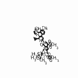 CC(OS(C)(=O)=O)c1cc2c(S(C)(=O)=O)cn(-c3cc(-c4ccc(C#N)cc4-c4nccn4C)cc(C4CC4)n3)c(=O)c2n1COCC[Si](C)(C)C